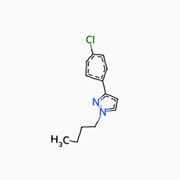 CCCCn1ccc(-c2ccc(Cl)cc2)n1